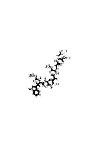 C/C(=C\[C@H](C(C)C)N(C)C(=O)[C@@H](NC(=O)[C@@H](N(C)C(=O)OC(C)(C)C)C(C)(C)c1cn(C)c2ccccc12)C(C)(C)C)C(=O)N[C@H](CCC(=O)N[C@H](CCC(=O)O)C(=O)OC(C)(C)C)C(=O)OC(C)(C)C